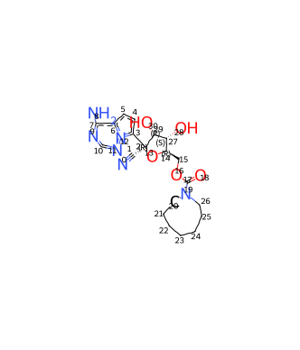 N#C[C@@]1(c2ccc3c(N)ncnn23)O[C@H](COC(=O)N2CCCCCCC2)[C@@H](O)[C@H]1O